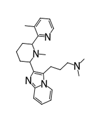 Cc1cccnc1C1CCCC(c2nc3ccccn3c2CCCN(C)C)N1C